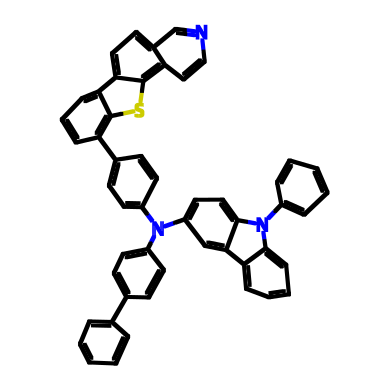 c1ccc(-c2ccc(N(c3ccc(-c4cccc5c4sc4c6ccncc6ccc54)cc3)c3ccc4c(c3)c3ccccc3n4-c3ccccc3)cc2)cc1